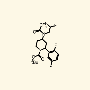 CC(C)(C)OC(=O)N1CCC(N(CC(F)F)C(=O)C(F)(F)F)C[C@H]1c1cc(F)ccc1F